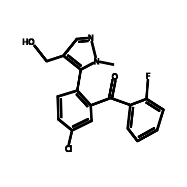 Cn1ncc(CO)c1-c1ccc(Cl)cc1C(=O)c1ccccc1F